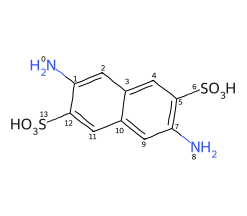 Nc1cc2cc(S(=O)(=O)O)c(N)cc2cc1S(=O)(=O)O